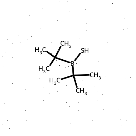 CC(C)(C)B(S)C(C)(C)C